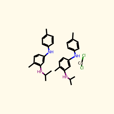 Cc1ccc(Nc2ccc(C)c(PC(C)C)c2)cc1.Cc1ccc(Nc2ccc(C)c(PC(C)C)c2)cc1.[Cl][Co][Cl]